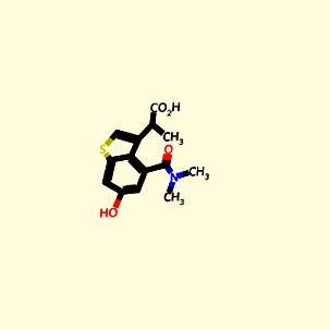 CC(C(=O)O)c1csc2cc(O)cc(C(=O)N(C)C)c12